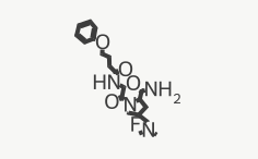 CN(C)CC1(F)CC(C(N)=O)N(C(=O)CNC(=O)CCCOc2ccccc2)C1